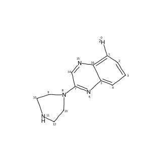 [2H]c1cccc2nc(N3CCNCC3)cnc12